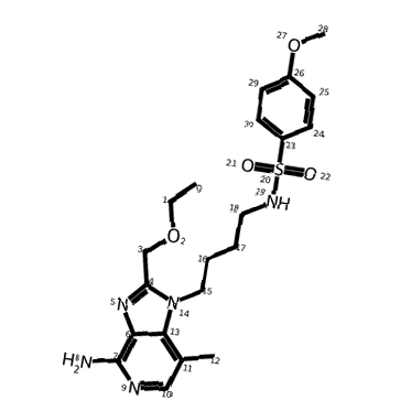 CCOCc1nc2c(N)ncc(C)c2n1CCCCNS(=O)(=O)c1ccc(OC)cc1